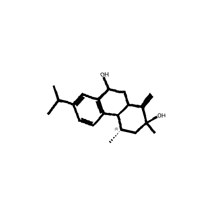 C=C1C2CC(O)c3cc(C(C)C)ccc3C2[C@@H](C)CC1(C)O